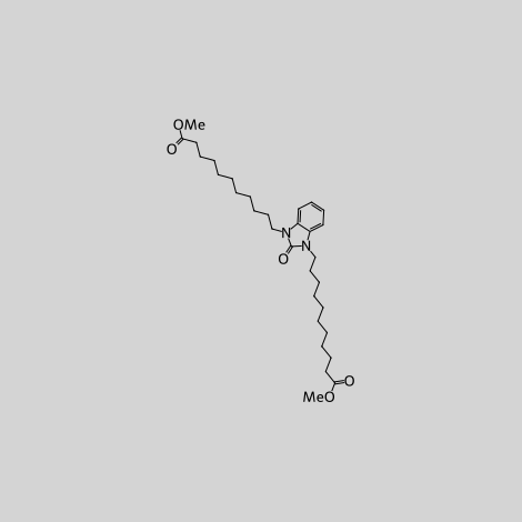 COC(=O)CCCCCCCCCCn1c(=O)n(CCCCCCCCCCC(=O)OC)c2ccccc21